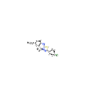 COc1ccc(N=c2sc(-c3ccc(Cl)cc3)nn2C)cc1